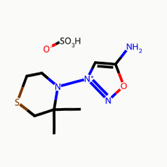 CC1(C)CSCCN1[n+]1cc(N)on1.O=S(=O)([O-])O